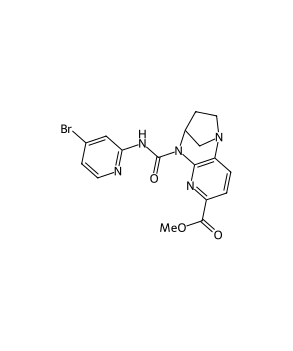 COC(=O)c1ccc2c(n1)N(C(=O)Nc1cc(Br)ccn1)C1CCN2C1